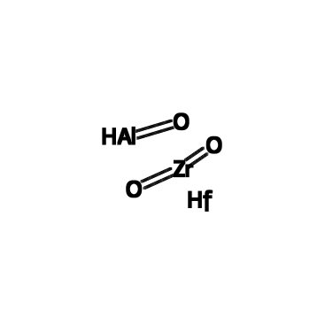 [Hf].[O]=[AlH].[O]=[Zr]=[O]